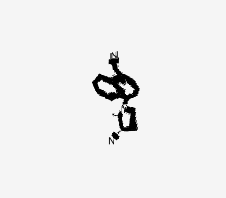 C[C@H]1[C@@H](C#N)CCN1c1ccc(C#N)c2ccccc12